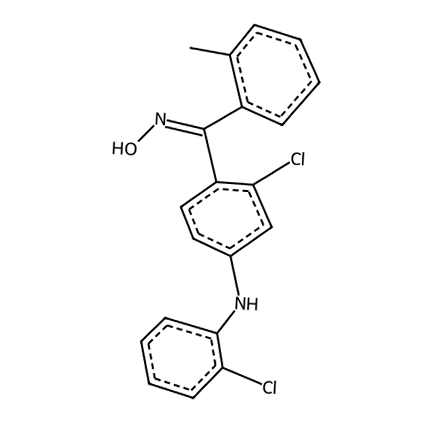 Cc1ccccc1C(=NO)c1ccc(Nc2ccccc2Cl)cc1Cl